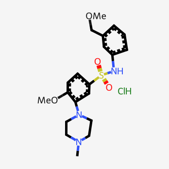 COCc1cccc(NS(=O)(=O)c2ccc(OC)c(N3CCN(C)CC3)c2)c1.Cl